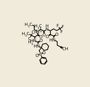 C#CCCNC(=O)C(=O)C(CCC(F)(F)F)NC(=O)[C@H](C)N(CCC)C(=O)[C@@H](NC(=O)NC1(CS(=O)(=O)c2ccccc2)CCCCC1)C(C)(C)C